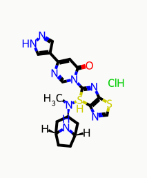 CN([C@@H]1C[C@H]2CC[C@@H](C1)N2)[SH]1C(n2cnc(-c3cn[nH]c3)cc2=O)=Nc2scnc21.Cl